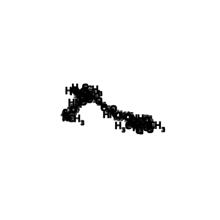 COc1cc(N2CCC(NC(=O)CCOCCOCCC(=O)N[C@H](C(=O)N3C[C@H](O)C[C@H]3C(=O)NCc3ccc(-c4scnc4C)cc3)C(C)(C)C)CC2)ccc1Nc1ncc(Cl)c(Nc2ccccc2P(C)(C)=O)n1